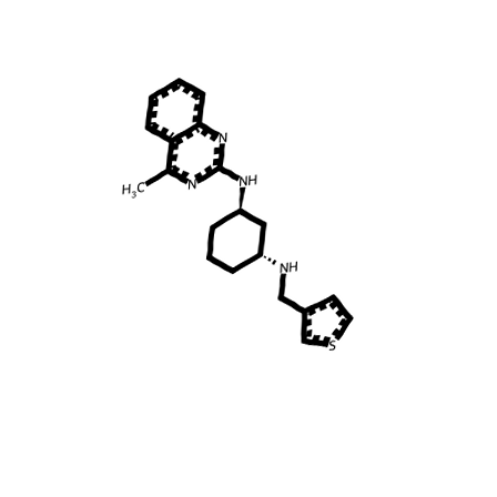 Cc1nc(N[C@@H]2CCC[C@@H](NCc3ccsc3)C2)nc2ccccc12